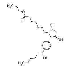 CCCCC[C@@H](O)c1ccc([C@@H]2[C@@H](C/C=C/CCCC(=O)OCCC)[C@H](Cl)C[C@H]2O)cc1